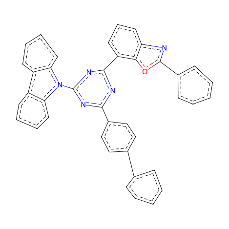 c1ccc(-c2ccc(-c3nc(-c4cccc5nc(-c6ccccc6)oc45)nc(-n4c5ccccc5c5ccccc54)n3)cc2)cc1